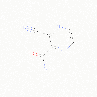 N#Cc1nccnc1C(N)=O